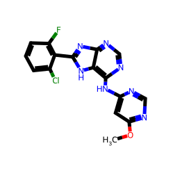 COc1cc(Nc2ncnc3nc(-c4c(F)cccc4Cl)[nH]c23)ncn1